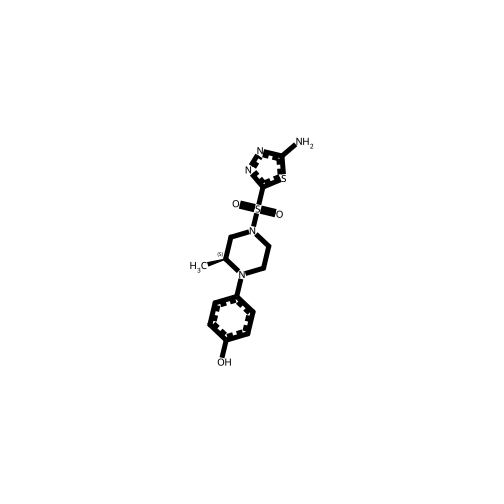 C[C@H]1CN(S(=O)(=O)c2nnc(N)s2)CCN1c1ccc(O)cc1